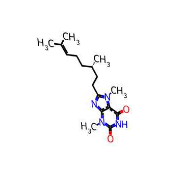 CC(C)=CCC[C@H](C)CCc1nc2c(c(=O)[nH]c(=O)n2C)n1C